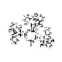 O=C(NCCN1CCNCCN(CCNC(=O)c2cccc(=O)n2OCc2ccccc2)CCN(CCNC(=O)c2cccc(=O)n2OCc2ccccc2)CC1)c1cccc(=O)n1OCc1ccccc1